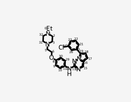 CCN1CCN(CCOc2ccc(Nc3ncc4ccc(-c5cccc(Cl)c5)n4n3)cc2)CC1